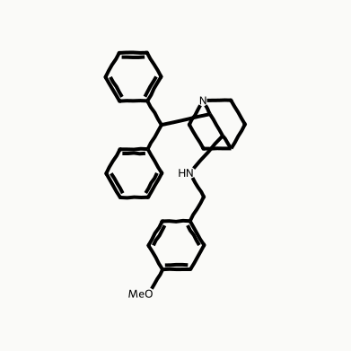 COc1ccc(CNC2C3CCN(CC3)C2C(c2ccccc2)c2ccccc2)cc1